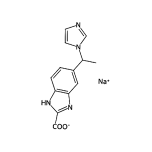 CC(c1ccc2[nH]c(C(=O)[O-])nc2c1)n1ccnc1.[Na+]